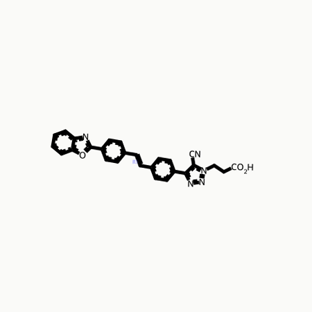 N#Cc1c(-c2ccc(/C=C/c3ccc(-c4nc5ccccc5o4)cc3)cc2)nnn1CCC(=O)O